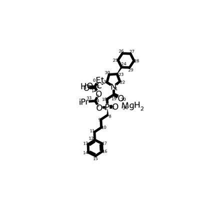 CCC(=O)OC(O[P@](=O)(CCCCc1ccccc1)CC(=O)N1C[C@H](C2CCCCC2)C[C@H]1C(=O)O)C(C)C.[MgH2]